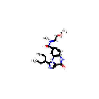 CCC(CC)c1ncc2c(=O)[nH]c3ccc(C(=O)N(C)CCOC)cc3n12